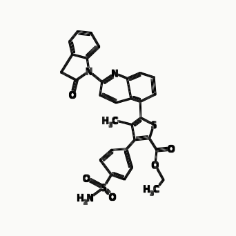 CCOC(=O)c1sc(-c2cccc3nc(N4C(=O)Cc5ccccc54)ccc23)c(C)c1-c1ccc(S(N)(=O)=O)cc1